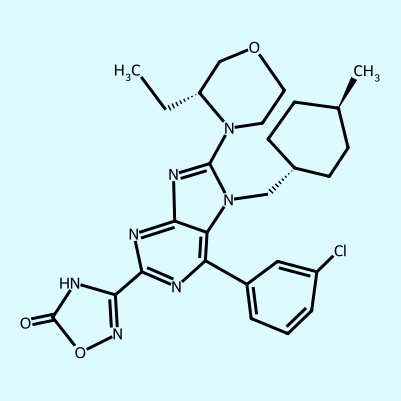 CC[C@@H]1COCCN1c1nc2nc(-c3noc(=O)[nH]3)nc(-c3cccc(Cl)c3)c2n1C[C@H]1CC[C@H](C)CC1